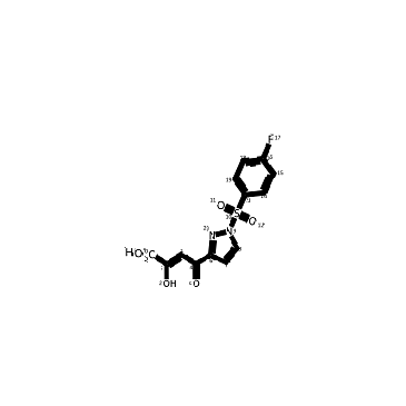 O=C(O)C(O)=CC(=O)c1ccn(S(=O)(=O)c2ccc(F)cc2)n1